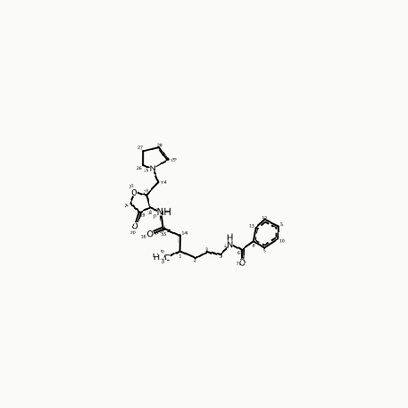 CC(CCCNC(=O)c1ccccc1)CC(=O)NC1C(=O)COC1CN1CCCC1